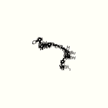 Cc1ncsc1-c1ccc(CNC(=O)[C@@H]2C[C@@H](O)CN2C(=O)C(NC(=O)COCCOCCOCCOc2ccc(-c3cc4c(NCc5ccccc5Cl)ncnc4[nH]3)cc2)C(C)(C)C)cc1